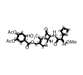 CO/N=C(/C(=O)N[C@@H]1C(=O)N2C(C(=O)O)=C(COC(=O)c3ccc(OC(C)=O)c(OC(C)=O)c3)CS[C@H]12)c1cccs1